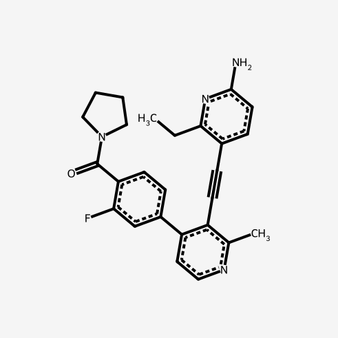 CCc1nc(N)ccc1C#Cc1c(-c2ccc(C(=O)N3CCCC3)c(F)c2)ccnc1C